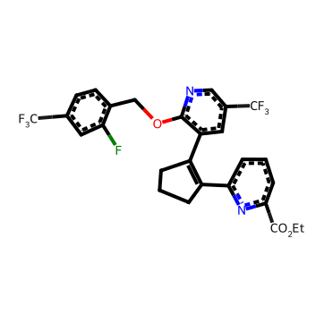 CCOC(=O)c1cccc(C2=C(c3cc(C(F)(F)F)cnc3OCc3ccc(C(F)(F)F)cc3F)CCC2)n1